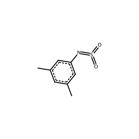 Cc1cc(C)cc(N=S(=O)=O)c1